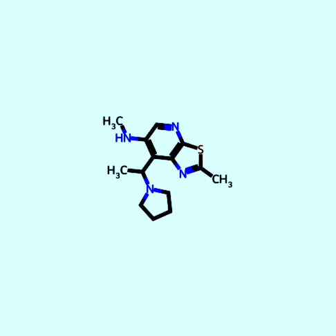 CNc1cnc2sc(C)nc2c1C(C)N1CCCC1